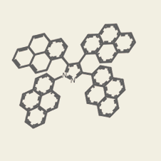 C1=CC2=CCc3c(-c4c(-c5ccc6ccc7cccc8ccc5c6c78)c(-c5ccc6ccc7cccc8ccc5c6c78)nn4-c4ccc5ccc6cccc7ccc4c5c67)ccc4c3C2C(=C1)C=C4